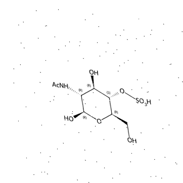 CC(=O)N[C@@H]1[C@@H](O)[C@H](OS(=O)(=O)O)[C@@H](CO)O[C@H]1O